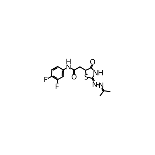 CC(C)=N/N=C1\NC(=O)C(CC(=O)Nc2ccc(F)c(F)c2)S1